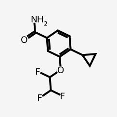 NC(=O)c1ccc(C2CC2)c(OC(F)C(F)F)c1